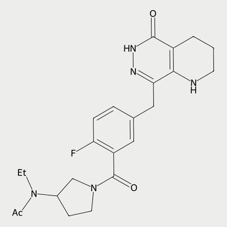 CCN(C(C)=O)C1CCN(C(=O)c2cc(Cc3n[nH]c(=O)c4c3NCCC4)ccc2F)C1